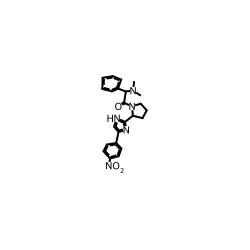 CN(C)C(C(=O)N1CCCC1c1nc(-c2ccc([N+](=O)[O-])cc2)c[nH]1)c1ccccc1